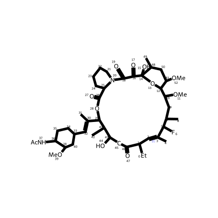 CCC1/C=C(\C)C(F)C(C)CC(OC)C2OC(O)(C(=O)C(=O)N3CCCCC3C(=O)OC(C(C)=CC3CCC(NC(C)=O)C(OC)C3)C(C)C(O)CC1=O)C(C)CC2OC